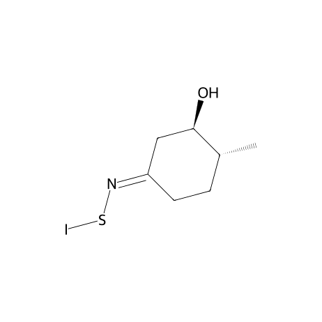 C[C@@H]1CC/C(=N\SI)C[C@H]1O